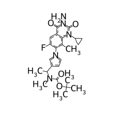 Cc1c(-n2ccc(C(C)N(C)C(=O)OC(C)(C)C)c2)c(F)cc2c(=O)n(N)c(=O)n(C3CC3)c12